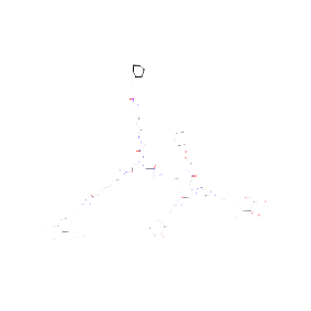 C[C@@H]1O[C@@H](OCCNC(=O)CN(CC(=O)NCCO[C@@H]2O[C@@H](C)[C@@H](O)[C@@H](O)[C@@H]2O)[C@@H](CCCCNC(=O)CN(CC(=O)NCCCCCNC(=O)OCc2ccccc2)CC(=O)NCCCCCC(=O)NCCO[C@@H]2O[C@@H](CO)[C@H](O)[C@@H](O)[C@H]2O)C(=O)NCCO[C@@H]2O[C@@H](C)[C@@H](O)[C@@H](O)[C@@H]2O)[C@@H](O)[C@H](O)[C@@H]1O